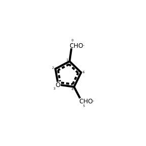 O=[C]c1coc([C]=O)c1